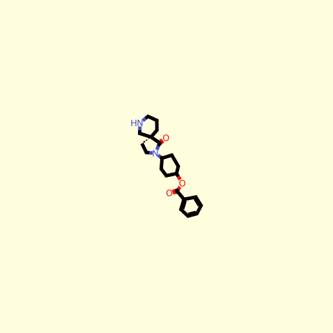 O=C(OC1CCC(N2CC[C@]3(CCCNC3)C2=O)CC1)c1ccccc1